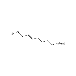 CCCCCCCCC/C=C/CS[S]